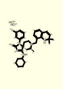 C[C@H]1C[C@]2(CCN1Cc1cccc3c1NC(C)(C)C=C3)C(NC1CCCCC1)=NC(=O)N2c1cccc(F)c1.Cl.Cl